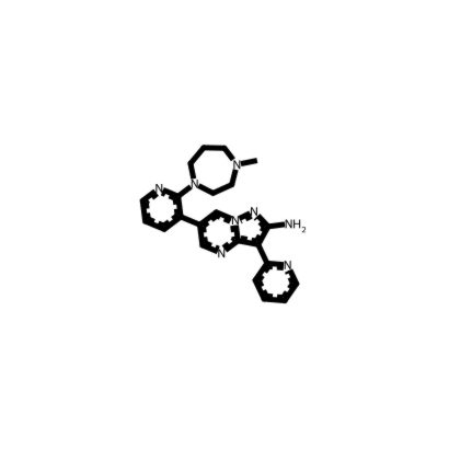 CN1CCCN(c2ncccc2-c2cnc3c(-c4ccccn4)c(N)nn3c2)CC1